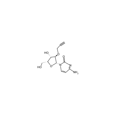 C#CCO[C@@H]1[C@@H](O)[C@@H](CO)O[C@H]1n1ccc(N)nc1=O